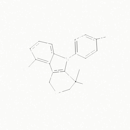 CC1(C)COCc2c1n(-c1ccc(F)cc1)c1cccc(O)c21